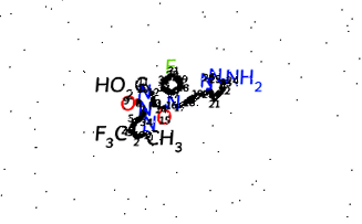 Cc1cc(C(F)(F)F)cc(N2C(=O)N(C(=O)O)C[C@H]2C(=O)N(CC#Cc2ccc(N)nn2)c2ccc(F)cc2)n1